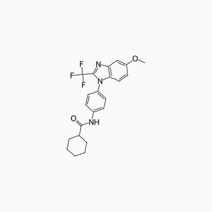 COc1ccc2c(c1)nc(C(F)(F)F)n2-c1ccc(NC(=O)C2CCCCC2)cc1